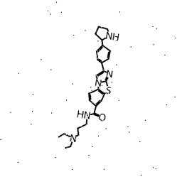 CCN(CC)CCCNC(=O)c1ccc2c(c1)sc1nc(-c3ccc(C4CCCN4)cc3)cn12